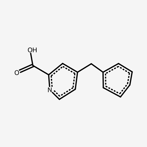 O=C(O)c1cc(Cc2ccccc2)ccn1